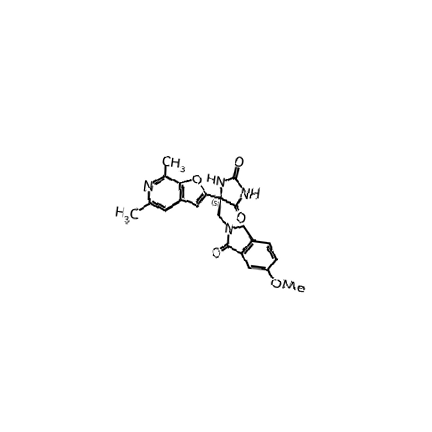 COc1ccc2c(c1)C(=O)N(C[C@@]1(c3cc4cc(C)nc(C)c4o3)NC(=O)NC1=O)C2